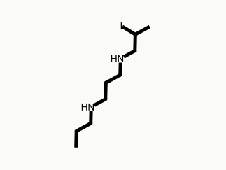 CCCNCCCNCC(C)I